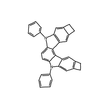 c1ccc(-n2c3cc4c(cc3c3c5c6cc7c(cc6n(-c6ccccc6)c5ccc32)CC7)CC4)cc1